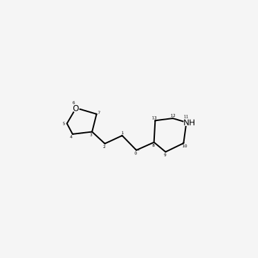 [CH](CCC1CCOC1)C1CCNCC1